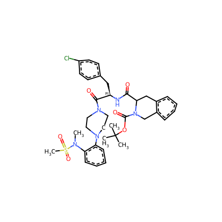 CN(c1ccccc1N1CCN(C(=O)[C@@H](Cc2ccc(Cl)cc2)NC(=O)C2Cc3ccccc3CN2C(=O)OC(C)(C)C)CC1)S(C)(=O)=O